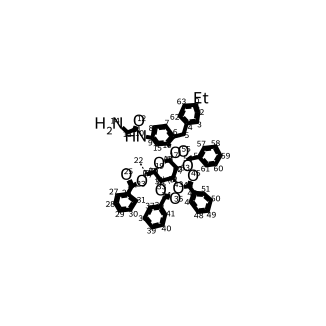 CCc1ccc(Cc2ccc(NC(=O)CN)cc2O[C@@H]2O[C@H]([C@@H](C)OC(=O)c3ccccc3)[C@@H](OC(=O)c3ccccc3)[C@H](OC(=O)c3ccccc3)[C@H]2OC(=O)c2ccccc2)cc1